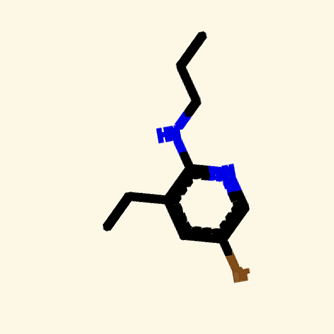 CCCNc1ncc(Br)cc1CC